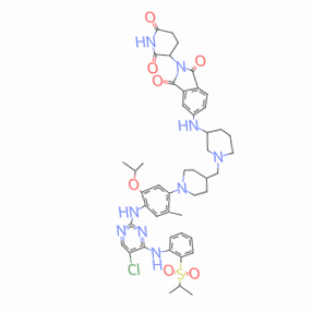 Cc1cc(Nc2ncc(Cl)c(Nc3ccccc3S(=O)(=O)C(C)C)n2)c(OC(C)C)cc1N1CCC(CN2CCCC(Nc3ccc4c(c3)C(=O)N(C3CCC(=O)NC3=O)C4=O)C2)CC1